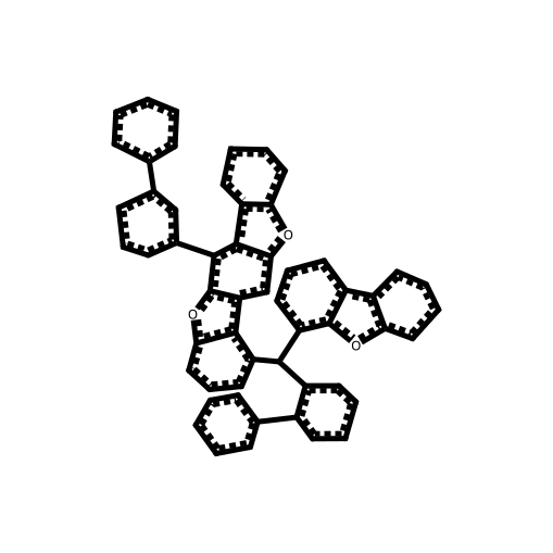 c1ccc(-c2cccc(-c3c4oc5cccc(C(c6ccccc6-c6ccccc6)c6cccc7c6oc6ccccc67)c5c4cc4oc5ccccc5c34)c2)cc1